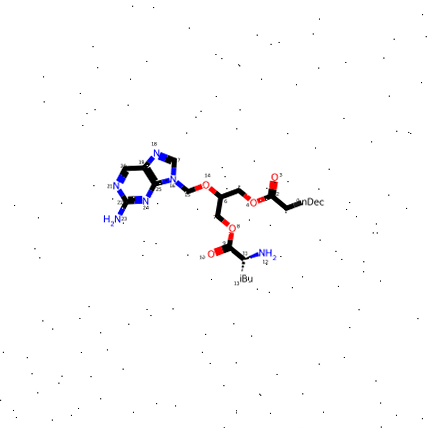 CCCCCCCCCCCC(=O)OCC(COC(=O)[C@@H](N)[C@@H](C)CC)OCn1cnc2cnc(N)nc21